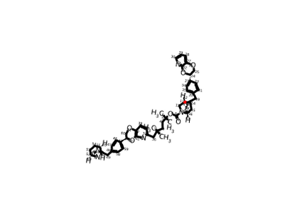 CC(C)(CCC(C)(C)OC(=O)N1C[C@@H]2CC[C@H]1CN2Cc1ccc([C@H]2COc3cccnc3O2)cc1)Cc1ccc2c(n1)O[C@@H](c1ccc(CN3C[C@@H]4CC[C@H]3CN4)cc1)CO2